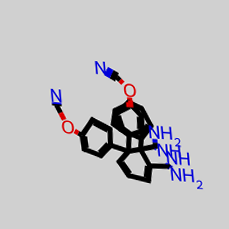 N#COc1ccc(C2(c3ccc(OC#N)cc3)C=CC=C(C(=N)N)C2(C(=N)N)c2ccccc2)cc1